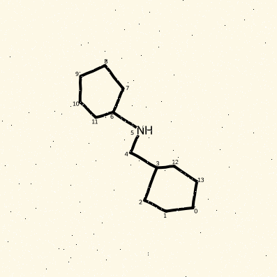 C1CCC(CNC2CCCCC2)CC1